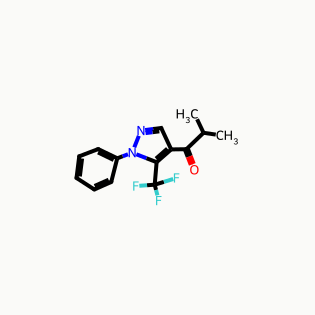 CC(C)C(=O)c1cnn(-c2ccccc2)c1C(F)(F)F